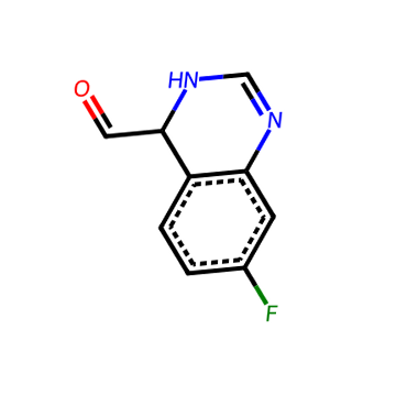 O=CC1NC=Nc2cc(F)ccc21